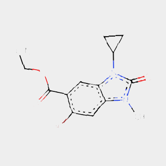 CCOC(=O)c1cc2c(cc1Br)n(C)c(=O)n2C1CC1